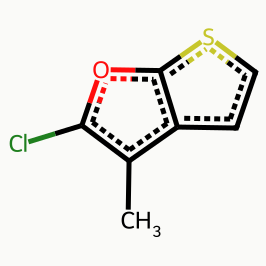 Cc1c(Cl)oc2sccc12